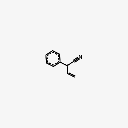 C=C[C](C#N)c1ccccc1